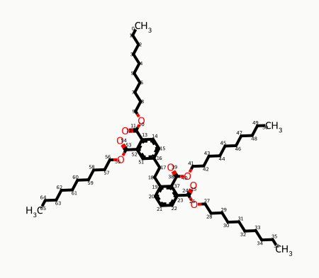 CCCCCCCCCCOC(=O)c1ccc(CCc2cccc(C(=O)OCCCCCCCCCC)c2C(=O)OCCCCCCCCCC)cc1C(=O)OCCCCCCCCCC